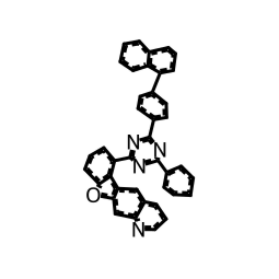 c1ccc(-c2nc(-c3ccc(-c4cccc5ccccc45)cc3)nc(-c3cccc4oc5cc6ncccc6cc5c34)n2)cc1